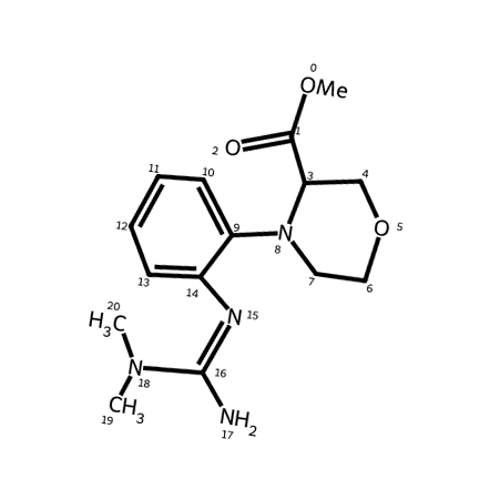 COC(=O)C1COCCN1c1ccccc1N=C(N)N(C)C